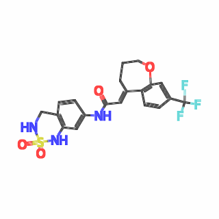 O=C(/C=C1\CCCOc2cc(C(F)(F)F)ccc21)Nc1ccc2c(c1)NS(=O)(=O)NC2